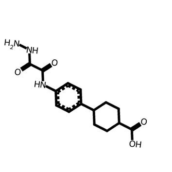 NNC(=O)C(=O)Nc1ccc(C2CCC(C(=O)O)CC2)cc1